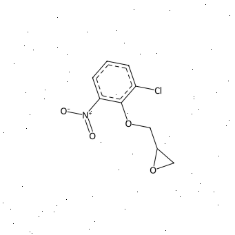 O=[N+]([O-])c1cccc(Cl)c1OCC1CO1